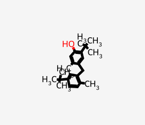 Cc1ccc(C(C)(C)C)cc1Cc1cc(C(C)(C)C)c(O)cc1C